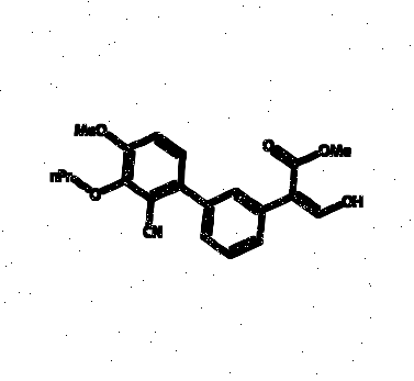 CCCOc1c(OC)ccc(-c2cccc(/C(=C/O)C(=O)OC)c2)c1C#N